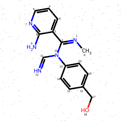 CN=C(c1cccnc1N)N(C=N)c1ccc(CO)cc1